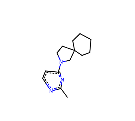 Cc1nccc(N2CCC3(CCCCC3)C2)n1